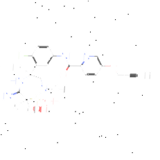 C#CCOc1ccc(C(=O)Nc2ccc(F)c([C@]3(C)CN(C)S(O)(O)C(C)(C)C(=N)N3)c2)nc1